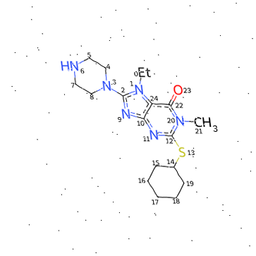 CCn1c(N2CCNCC2)nc2nc(SC3CCCCC3)n(C)c(=O)c21